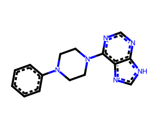 c1ccc(N2CCN(c3ncnc4[nH]cnc34)CC2)cc1